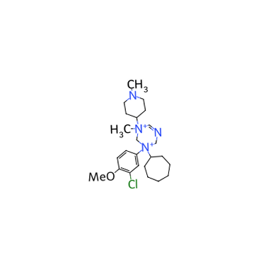 COc1ccc([N+]2(C3CCCCCC3)CN=C[N+](C)(C3CCN(C)CC3)C2)cc1Cl